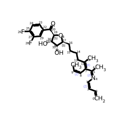 C=C\C=C/N=C(C)\C(\C=C/C)=C(/C)CCCC[C@@H]1O[C@H](C(=O)c2ccc(F)c(F)c2)[C@@H](O)[C@H]1O